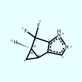 FC1(F)c2[nH]ncc2C2C[C@H]21